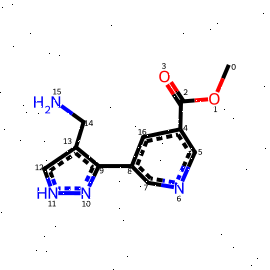 COC(=O)c1cncc(-c2n[nH]cc2CN)c1